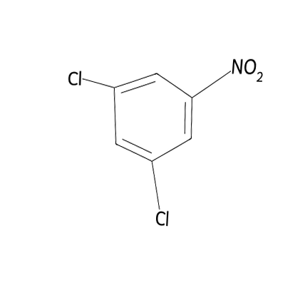 O=[N+]([O-])c1cc(Cl)cc(Cl)c1